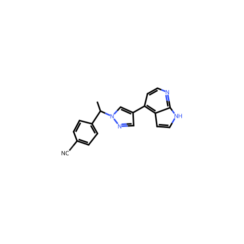 CC(c1ccc(C#N)cc1)n1cc(-c2ccnc3[nH]ccc23)cn1